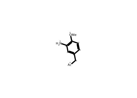 COc1ccc(CC(C)=O)cc1N